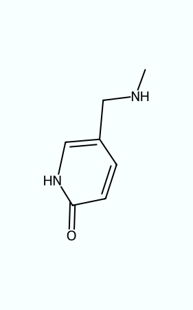 CNCc1ccc(=O)[nH]c1